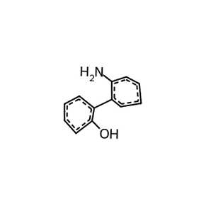 Nc1ccccc1-c1ccccc1O